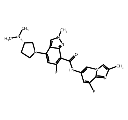 Cc1cn2cc(NC(=O)c3c(F)cc(N4CC[C@H](N(C)C)C4)c4cn(C)nc34)cc(F)c2n1